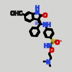 CN(C)CCON[S+]([O-])c1ccc(N/C(=C2\C(=O)Nc3cc(C=O)ccc32)c2ccccc2)cc1